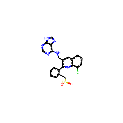 O=[SH](=O)Cc1ccccc1-c1nc2c(Cl)cccc2cc1CNc1ncnc2[nH]cnc12